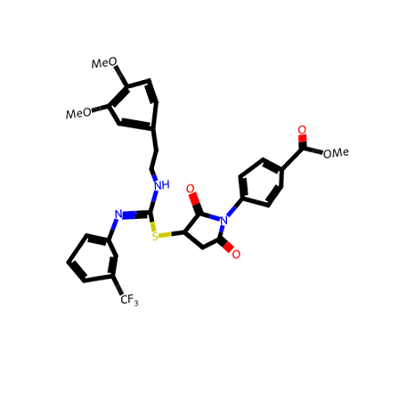 COC(=O)c1ccc(N2C(=O)CC(S/C(=N\c3cccc(C(F)(F)F)c3)NCCc3ccc(OC)c(OC)c3)C2=O)cc1